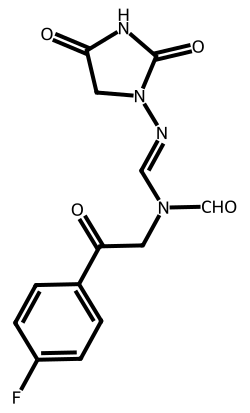 O=CN(C=NN1CC(=O)NC1=O)CC(=O)c1ccc(F)cc1